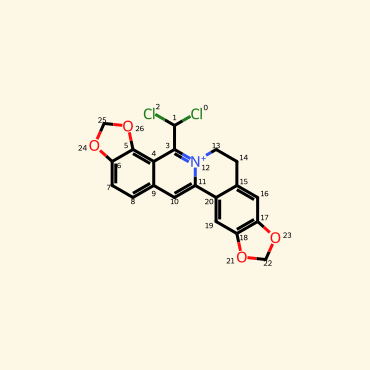 ClC(Cl)c1c2c3c(ccc2cc2[n+]1CCc1cc4c(cc1-2)OCO4)OCO3